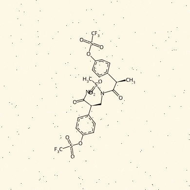 C[C@@H](C(=O)N(C[C@H](C(N)=O)c1ccc(OS(=O)(=O)C(F)(F)F)cc1)S(C)(=O)=O)c1ccc(OS(=O)(=O)C(F)(F)F)cc1